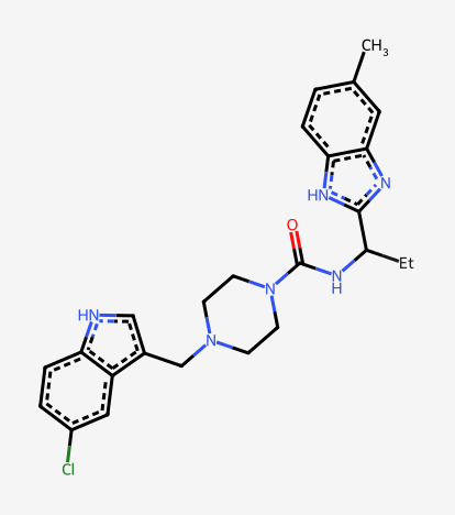 CCC(NC(=O)N1CCN(Cc2c[nH]c3ccc(Cl)cc23)CC1)c1nc2cc(C)ccc2[nH]1